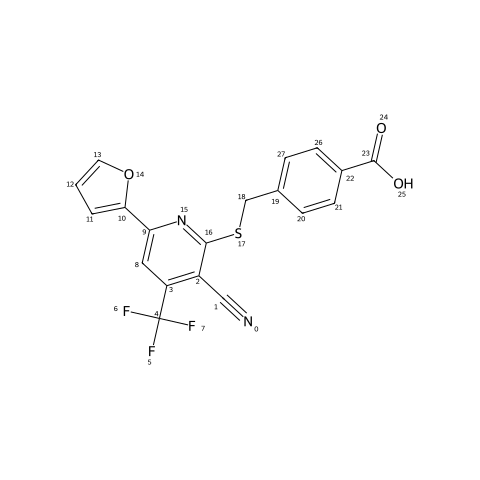 N#Cc1c(C(F)(F)F)cc(-c2ccco2)nc1SCc1ccc(C(=O)O)cc1